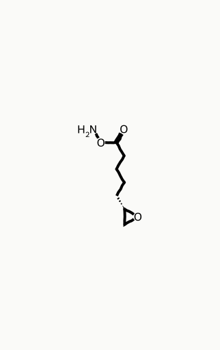 NOC(=O)CCCC[C@H]1CO1